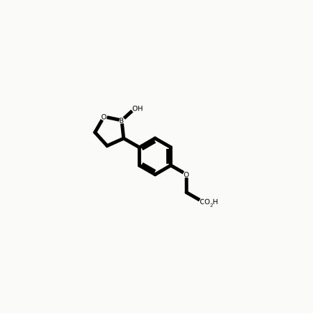 O=C(O)COc1ccc(C2CCOB2O)cc1